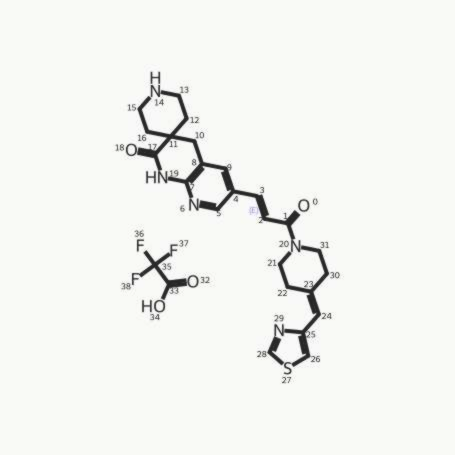 O=C(/C=C/c1cnc2c(c1)CC1(CCNCC1)C(=O)N2)N1CCC(=Cc2cscn2)CC1.O=C(O)C(F)(F)F